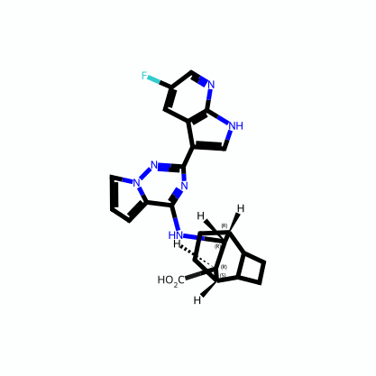 O=C(O)[C@H]1[C@H](Nc2nc(-c3c[nH]c4ncc(F)cc34)nn3cccc23)[C@@H]2CC[C@H]1C1CCC12